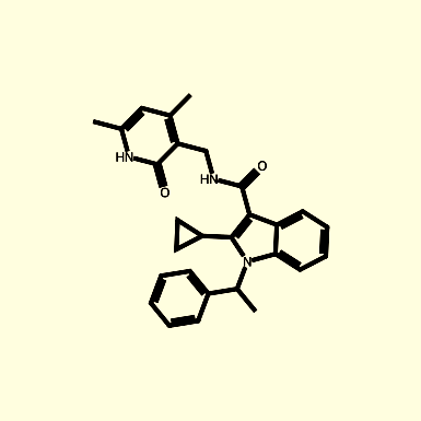 Cc1cc(C)c(CNC(=O)c2c(C3CC3)n(C(C)c3ccccc3)c3ccccc23)c(=O)[nH]1